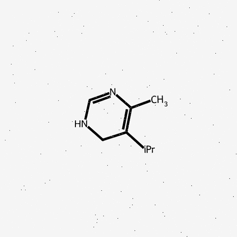 CC1=C(C(C)C)CNC=N1